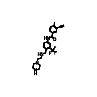 C#Cc1cc(C(=O)Nc2ccc(CNCCN3CCNCC3)c(C(F)(F)F)c2)ccc1C